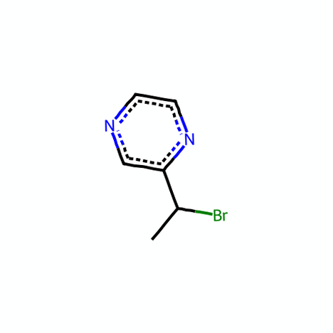 CC(Br)c1cnccn1